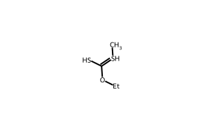 CCOC(S)=[SH]C